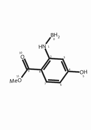 BNc1cc(O)ccc1C(=O)OC